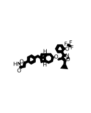 O=c1cc(-c2ccc(CC34C[C@H]5CC[C@H](OCc6c(-c7ccccc7OC(F)(F)F)noc6C6CC6)C[C@H](C3)C54)cc2)o[nH]1